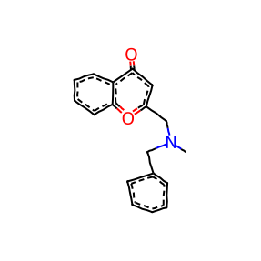 CN(Cc1ccccc1)Cc1cc(=O)c2ccccc2o1